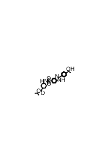 CC(C)OC(=O)C1CCC(NS(=O)(=O)c2ccc3[nH]c(-c4ccc(C(C)O)cc4)nc3c2)CC1